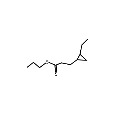 CCCSC(=S)CCC1CC1CC